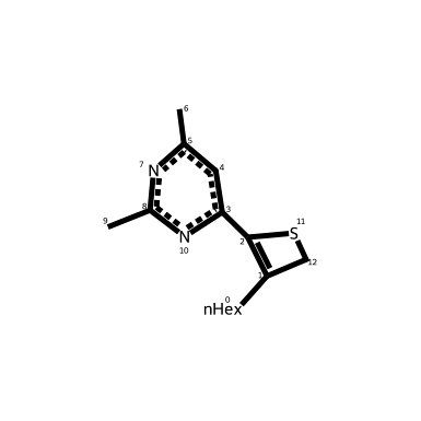 CCCCCCC1=C(c2cc(C)nc(C)n2)SC1